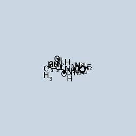 CC(C)CCC[C@@H](CN(O)C=O)C(=O)NNc1nnc2cc(F)ccc2n1